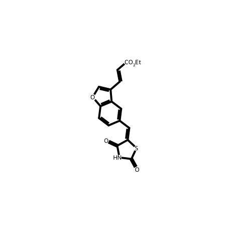 CCOC(=O)C=Cc1coc2ccc(C=C3SC(=O)NC3=O)cc12